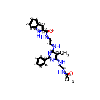 CC(=O)NCCNc1nc(-c2ccccc2)nc(NCCNC(=O)c2cc3ccccc3[nH]2)c1C